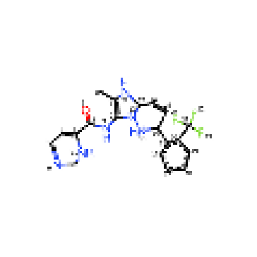 CC1=C(NC(=O)C2=CC=NCN2)N2NC(c3ccccc3C(F)(F)F)C=CC2N1